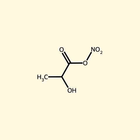 CC(O)C(=O)O[N+](=O)[O-]